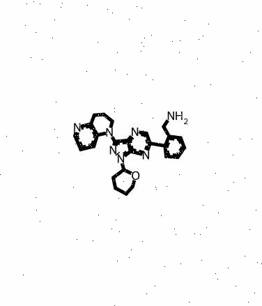 NCc1ccccc1-c1cnc2c(N3CCCc4ncccc43)nn(C3CCCCO3)c2n1